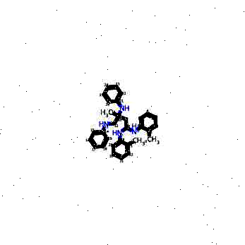 Cc1ccccc1NC(CC(C)(CNc1ccccc1)Nc1ccccc1)Nc1ccccc1C